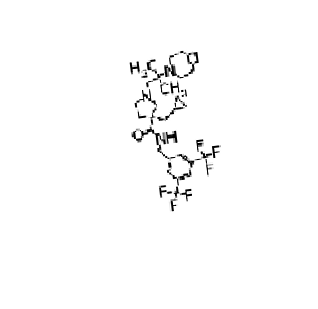 CC(C)(CN1CCC(CC2CC2)(C(=O)NCc2cc(C(F)(F)F)cc(C(F)(F)F)c2)C1)N1CCOCC1